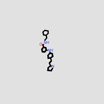 O=C(NCCC1CCCCC1)c1cccc(Nc2ccc(C=Cc3ccccn3)cc2)c1